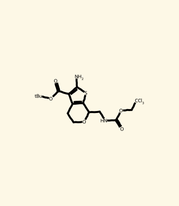 CC(C)(C)OC(=O)c1c(N)sc2c1CCOC2CNC(=O)OCC(Cl)(Cl)Cl